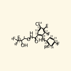 O=C(NOCC(O)C(F)(F)F)c1cc(Cl)c(F)c(F)c1Nc1ccc(F)cc1F